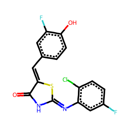 O=C1NC(=Nc2cc(F)ccc2Cl)SC1=Cc1ccc(O)c(F)c1